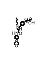 CCCCCn1cc(C(=O)Nc2ccc(N3CCOCC3)cc2)nc1-c1ccc(SC(C)(C)C(=O)O)cc1